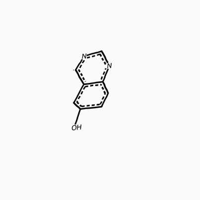 Oc1ccc2ncn[c]c2c1